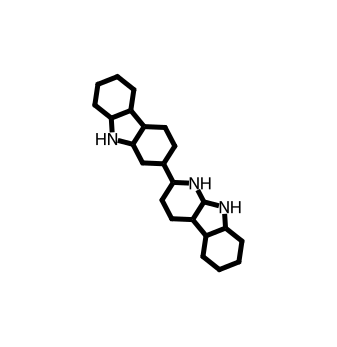 C1CCC2C(C1)NC1CC(C3CCC4C(N3)NC3CCCCC34)CCC12